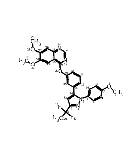 COc1ccc(-n2nc(C(C)(F)F)cc2-c2cccc(Oc3ncnc4cc(OC)c(OC)cc34)c2)cc1